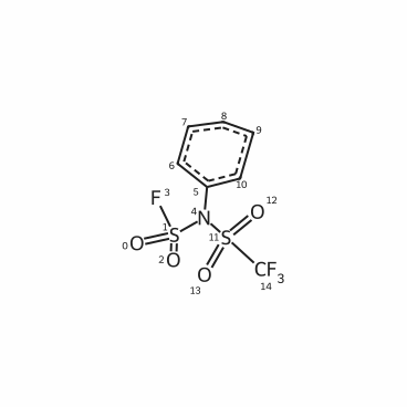 O=S(=O)(F)N(c1ccccc1)S(=O)(=O)C(F)(F)F